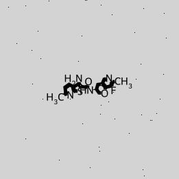 Cc1ccc2c(N)c(C(=O)N[C@H]3COc4c(cnc(C)c4F)C3)sc2n1